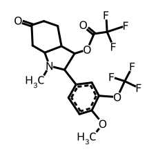 COc1ccc(C2C(OC(=O)C(F)(F)F)C3CCC(=O)CC3N2C)cc1OC(F)(F)F